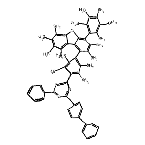 Bc1c(B)c(B)c(-c2c(B)c(B)c(-c3c(B)c(B)c(-c4nc(-c5ccccc5)nc(-c5ccc(-c6ccccc6)cc5)n4)c(B)c3B)c3c2oc2c(B)c(B)c(B)c(B)c23)c(B)c1B